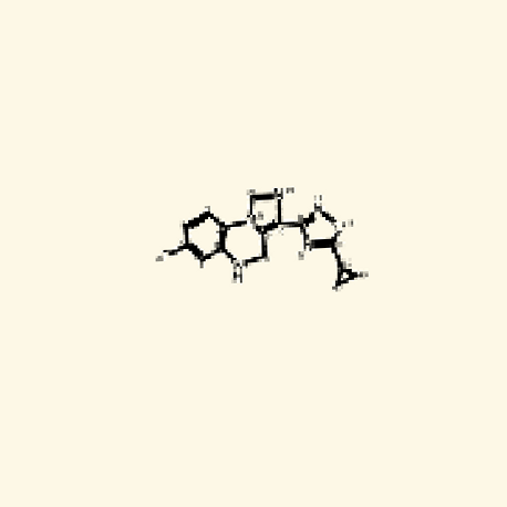 Fc1ccc2c(c1)NCc1c(-c3noc(C4CC4)n3)ncn1-2